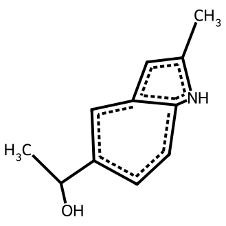 Cc1cc2cc(C(C)O)ccc2[nH]1